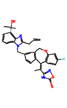 COCc1nc2c(C(C)(C)O)cccc2n1Cc1ccc2c(c1)COc1cc(F)ccc1/C2=C(/C)c1noc(=O)[nH]1